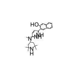 CN(C(=N)/C=C\C(=N)c1cc2ccccc2cc1O)C1CC(C)(C)NC(C)(C)C1